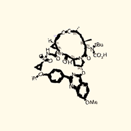 COc1ccc2c(O[C@@H]3C[C@H]4C(=O)N[C@]5(C(=O)NS(=O)(=O)C6CC6)C[C@H]5/C=C\CC[C@H](C)C[C@@H](C)[C@H](N(C(=O)O)C(C)(C)C)C(=O)N4C3)nc(-c3ccc(OC(C)C)cc3)nc2c1